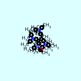 Cc1ccc(N(c2ccc(C3(C)CC(c4ccc(N(c5ccc(C)cc5C)c5ccc(C)cc5C)cc4)(c4ccc(N(c5ccc(C)cc5C)c5ccc(C)cc5C)cc4)c4cc(N(c5ccc(C)cc5C)c5ccc(C)cc5C)ccc43)cc2)c2ccc(C)cc2C)c(C)c1